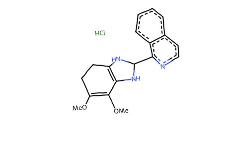 COC1=C(OC)C2=C(CC1)NC(c1nccc3ccccc13)N2.Cl